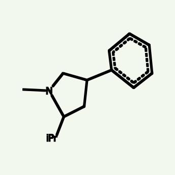 CC(C)C1CC(c2ccccc2)CN1C